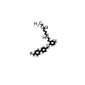 CCOC(=O)CCCCNCCc1cc(F)ccc1OCc1ccc(-c2ccc(CF)cc2)cc1